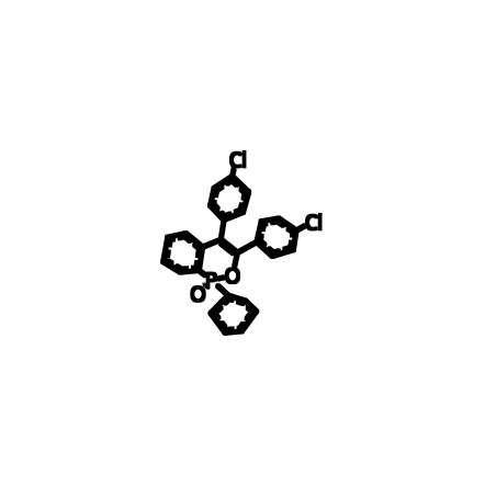 O=P1(c2ccccc2)OC(c2ccc(Cl)cc2)=C(c2ccc(Cl)cc2)c2ccccc21